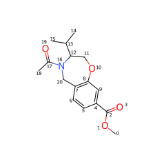 COC(=O)c1ccc2c(c1)OCC(C(C)C)N(C(C)=O)C2